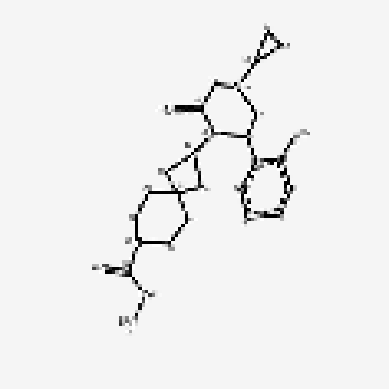 CC(C)c1ccccc1C1CN(C2CC2)CC(=O)N1C1CC2(CCN(C(=O)OC(C)(C)C)CC2)C1